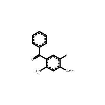 COc1cc(N)c(C(=O)c2ccccc2)cc1F